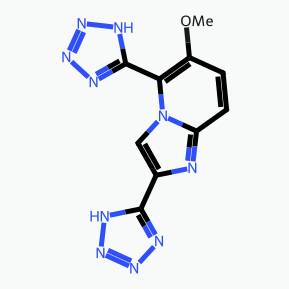 COc1ccc2nc(-c3nnn[nH]3)cn2c1-c1nnn[nH]1